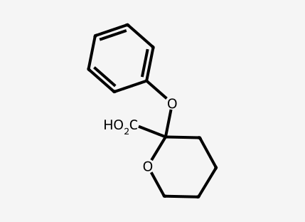 O=C(O)C1(Oc2ccccc2)CCCCO1